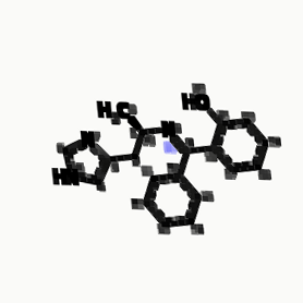 C[C@H](Cc1c[nH]cn1)/N=C(\c1ccccc1)c1ccccc1O